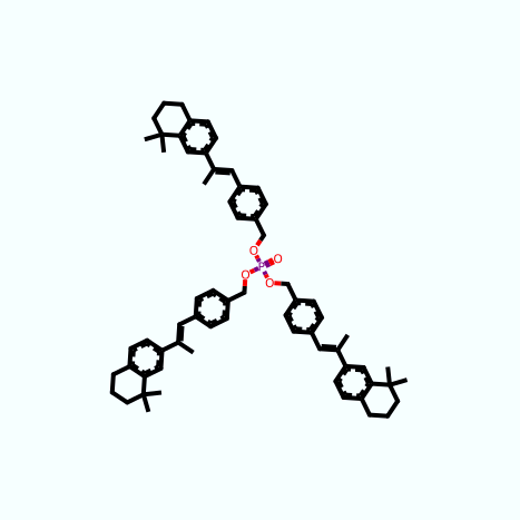 C/C(=C\c1ccc(COP(=O)(OCc2ccc(/C=C(\C)c3ccc4c(c3)C(C)(C)CCC4)cc2)OCc2ccc(/C=C(\C)c3ccc4c(c3)C(C)(C)CCC4)cc2)cc1)c1ccc2c(c1)C(C)(C)CCC2